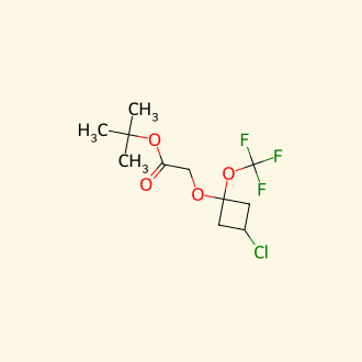 CC(C)(C)OC(=O)COC1(OC(F)(F)F)CC(Cl)C1